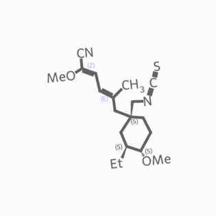 CC[C@H]1C[C@](CN=C=S)(C/C(C)=C/C=C(/C#N)OC)CC[C@@H]1OC